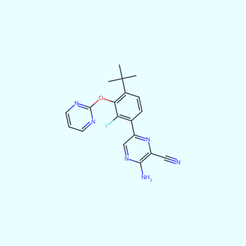 CC(C)(C)c1ccc(-c2cnc(N)c(C#N)n2)c(F)c1Oc1ncccn1